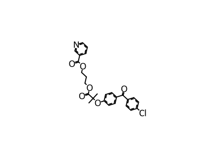 CC(C)(Oc1ccc(C(=O)c2ccc(Cl)cc2)cc1)C(=O)OCCCOC(=O)c1cccnc1